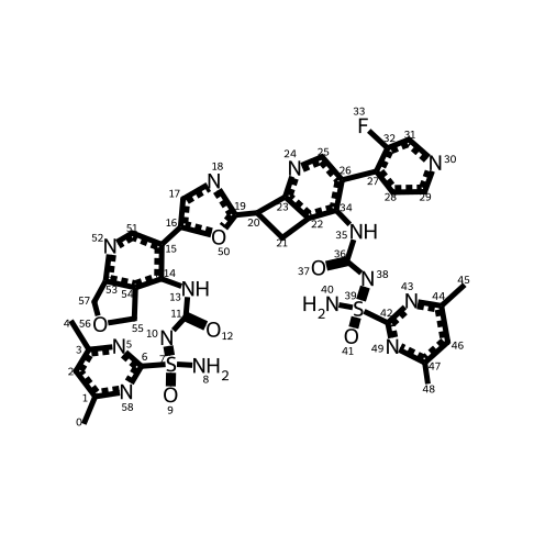 Cc1cc(C)nc(S(N)(=O)=NC(=O)Nc2c(-c3cnc(C4Cc5c4ncc(-c4ccncc4F)c5NC(=O)N=S(N)(=O)c4nc(C)cc(C)n4)o3)cnc3c2COC3)n1